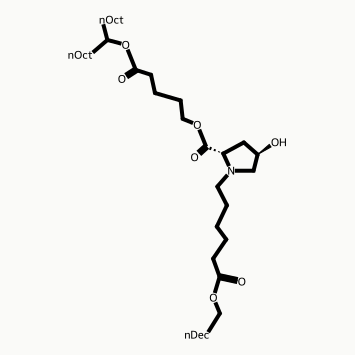 CCCCCCCCCCCOC(=O)CCCCCN1C[C@H](O)C[C@H]1C(=O)OCCCCC(=O)OC(CCCCCCCC)CCCCCCCC